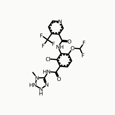 CN1NNN=C1NC(=O)c1ccc(OC(F)F)c(NC(=O)c2cnccc2C(F)(F)F)c1Cl